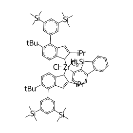 CC(C)C1=Cc2c(ccc(C(C)(C)C)c2-c2cc([Si](C)(C)C)cc([Si](C)(C)C)c2)[CH]1[Zr]([Cl])([Cl])([c]1cccc2c1[SiH2]c1ccccc1-2)[CH]1C(C(C)C)=Cc2c1ccc(C(C)(C)C)c2-c1cc([Si](C)(C)C)cc([Si](C)(C)C)c1